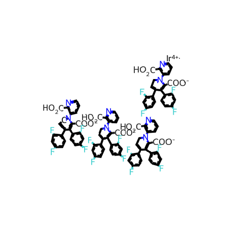 O=C([O-])C1=C(c2ccc(F)cc2F)C(c2ccc(F)cc2F)=CCN1c1cccnc1C(=O)O.O=C([O-])C1=C(c2ccc(F)cc2F)C(c2ccc(F)cc2F)=CCN1c1cccnc1C(=O)O.O=C([O-])C1=C(c2ccc(F)cc2F)C(c2ccc(F)cc2F)=CCN1c1cccnc1C(=O)O.O=C([O-])C1=C(c2ccc(F)cc2F)C(c2ccc(F)cc2F)=CCN1c1cccnc1C(=O)O.[Ir+4]